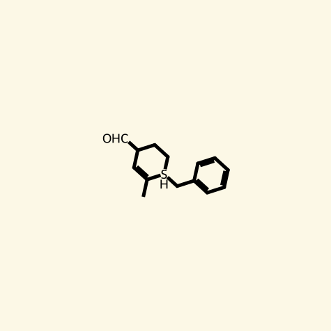 CC1=CC(C=O)CC[SH]1Cc1ccccc1